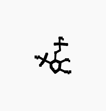 Cc1c(C(=O)O)ccc(S(C)(=O)=O)c1OCS(C)(=O)=O